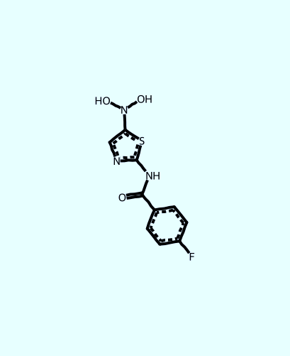 O=C(Nc1ncc(N(O)O)s1)c1ccc(F)cc1